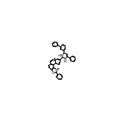 CN1c2c(ccc3c2C2C=CC(C4NC(c5ccccc5)=CC(c5cccc(-c6ccccc6)c5)N4)=CC2(C)C=C3)OC1c1ccccc1